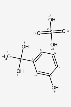 CC(O)(O)c1cccc(O)c1.O=S(=O)(O)O